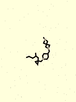 CCCC(C)CC1(CN2CCC(CN3CC4(CN(C)C4)C3)CC2)CC1